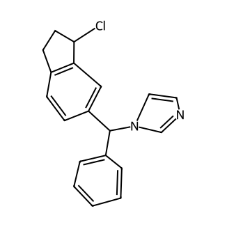 ClC1CCc2ccc(C(c3ccccc3)n3ccnc3)cc21